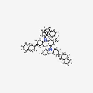 CC1(C)c2cc(N(c3ccccc3)c3ccc(-c4ccc5ccccc5c4)cc3)cc(N(c3ccccc3)c3ccc(-c4ccc5ccccc5c4)cc3)c2-c2c1ccc1ccccc21